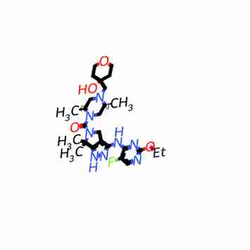 CCOc1ncc(F)c(Nc2n[nH]c3c2CN(C(=O)N2C[C@@H](C)N(CC4(O)CCOCC4)C[C@@H]2C)C3(C)C)n1